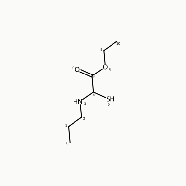 CCCNC(S)C(=O)OCC